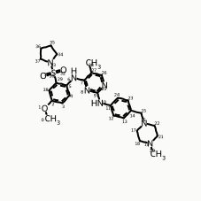 COc1ccc(Nc2nc(Nc3ccc(CN4CCN(C)CC4)cc3)ncc2C)c(S(=O)(=O)N2CCCC2)c1